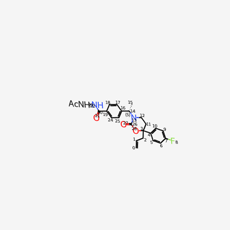 C=CCC1(c2ccc(F)cc2)CCN([C@@H](C)c2ccc(C(=O)NNC(C)=O)cc2)C(=O)O1